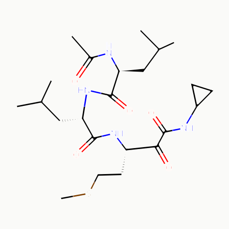 CSCC[C@H](NC(=O)[C@H](CC(C)C)NC(=O)[C@H](CC(C)C)NC(C)=O)C(=O)C(=O)NC1CC1